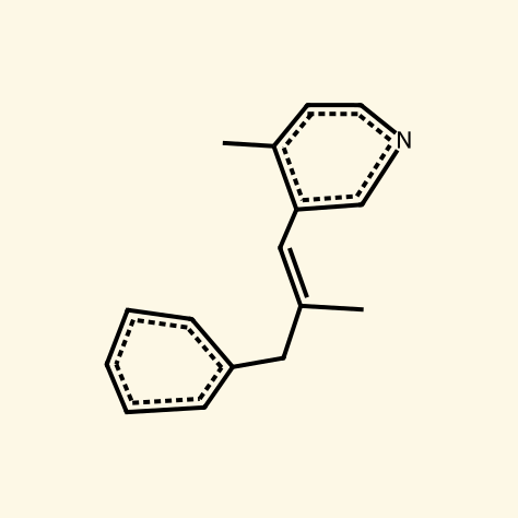 C/C(=C\c1cnccc1C)Cc1ccccc1